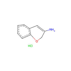 Cl.NC1=Cc2ccccc2OC1